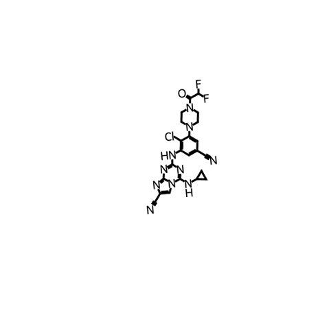 N#Cc1cc(Nc2nc(NC3CC3)n3cc(C#N)nc3n2)c(Cl)c(N2CCN(C(=O)C(F)F)CC2)c1